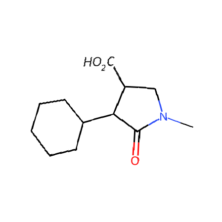 CN1CC(C(=O)O)C(C2CCCCC2)C1=O